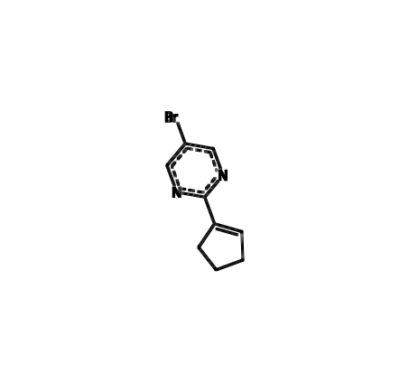 Brc1cnc(C2=CCCC2)nc1